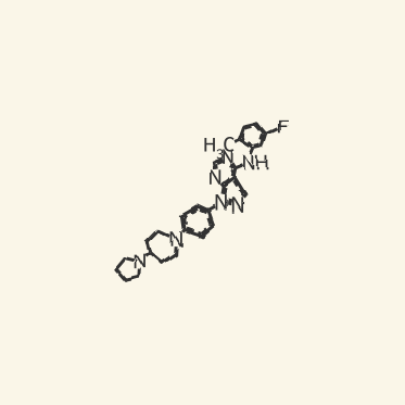 Cc1ccc(F)cc1Nc1ncnc2c1cnn2-c1ccc(N2CCC(N3CCCC3)CC2)cc1